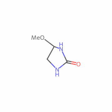 COC1CNC(=O)N1